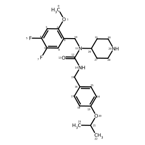 COc1cc(F)c(F)cc1CN(C(=O)NCc1ccc(OC(C)C)cc1)C1CCNCC1